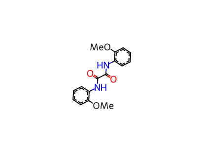 COc1ccccc1NC(=O)C(=O)Nc1ccccc1OC